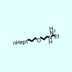 CCCCCCCCCCOCCCNC(N)CC